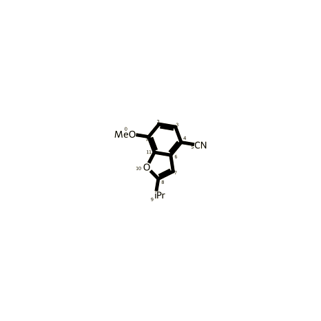 COc1ccc(C#N)c2cc(C(C)C)oc12